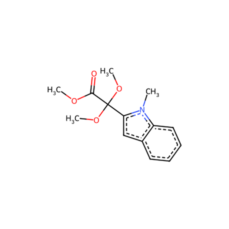 COC(=O)C(OC)(OC)c1cc2ccccc2n1C